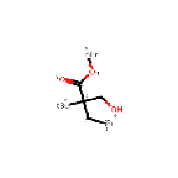 CCCOC(=O)C(CO)(CC(C)C)C(C)(C)C